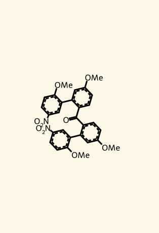 COc1ccc(C(=O)c2ccc(OC)cc2-c2cc([N+](=O)[O-])ccc2OC)c(-c2cc([N+](=O)[O-])ccc2OC)c1